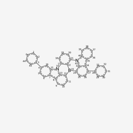 c1ccc(-c2ccc3c4cccc5c4n(c3c2)-c2cccc3c2B5c2ccc(-c4ccccc4)c4c5ccccc5n-3c24)cc1